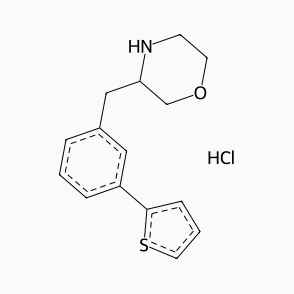 Cl.c1cc(CC2COCCN2)cc(-c2cccs2)c1